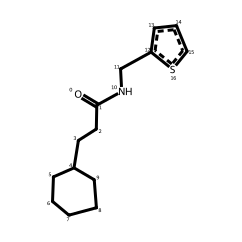 O=C(CCC1CCCCC1)NCc1cccs1